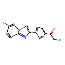 O=C(CBr)c1ccc(-c2cn3cc(I)ccc3n2)cc1